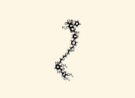 CC(=O)c1c(C)c2cnc(Nc3ccc(N4CCN(CCNCCOCCOCCNc5cccc(C(=O)NC6=NC(C)C(C)S6)c5C)CC4)cn3)nc2n(C2CCCC2)c1=O